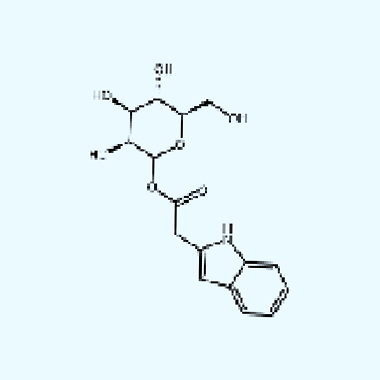 O=C(Cc1cc2ccccc2[nH]1)OC1O[C@H](CO)[C@@H](O)[C@H](O)[C@@H]1O